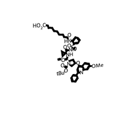 C=C[C@@H]1C[C@]1(NC(=O)[C@@H]1C[C@@H](Oc2cc(-c3ccccc3)nc3cc(OC)ccc23)CN1C(=O)OC(C)(C)C)C(=O)NS(=O)(=O)c1ccccc1NC(=O)CCCCCCCCC(=O)O